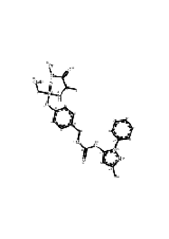 COCP(=O)(NC(C)C(=O)OC(C)C)Oc1ccc(COC(=O)Oc2cc(C)nn2-c2ccccc2)cc1